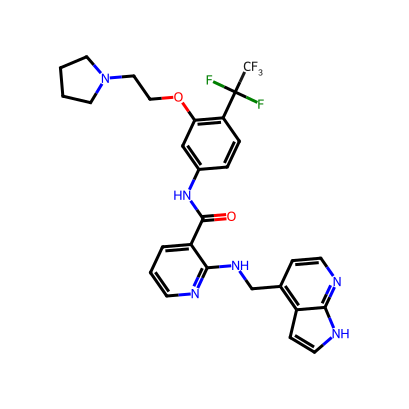 O=C(Nc1ccc(C(F)(F)C(F)(F)F)c(OCCN2CCCC2)c1)c1cccnc1NCc1ccnc2[nH]ccc12